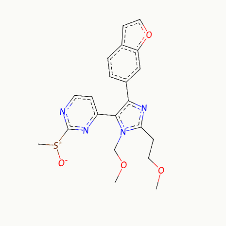 COCCc1nc(-c2ccc3ccoc3c2)c(-c2ccnc([S+](C)[O-])n2)n1COC